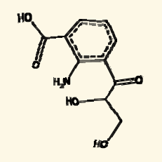 Nc1c(C(=O)O)cccc1C(=O)C(O)CO